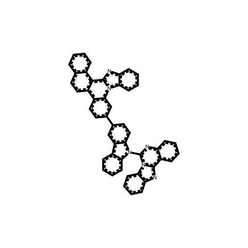 c1ccc2c(c1)ccc1c3ccc(-c4ccc5c(c4)c4ccccc4n5-c4nc5ccccc5c5nc6ccccc6n45)cc3n3c4ccccc4nc3c21